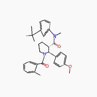 COc1ccc(C2[C@@H](C(=O)N(C)c3cccc(C(C)(C)C)c3)CCCN2C(=O)c2ccccc2C)cc1